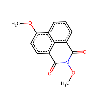 COc1ccc2c3c(cccc13)C(=O)N(OC)C2=O